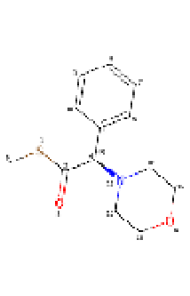 CSC(=O)[C@@H](c1ccccc1)N1CCOCC1